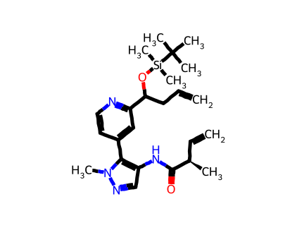 C=CCC(O[Si](C)(C)C(C)(C)C)c1cc(-c2c(NC(=O)[C@H](C)C=C)cnn2C)ccn1